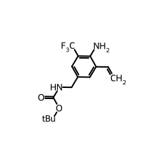 C=Cc1cc(CNC(=O)OC(C)(C)C)cc(C(F)(F)F)c1N